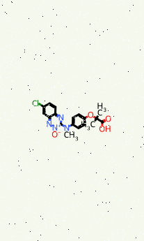 CN(c1ccc(OC(C)(C)C(=O)O)cc1)c1nc2ccc(Cl)cc2n[n+]1[O-]